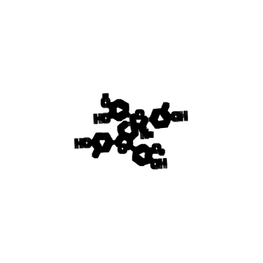 CN=C1[C@@H](c2ccc(O)c(C)c2)O[C@@H](c2ccc(OC)c(O)c2)[C@@]12CCC1=C(C2)[C@@H](c2ccc(O)c(OC)c2)O[C@H]1c1ccc(O)c(C)c1